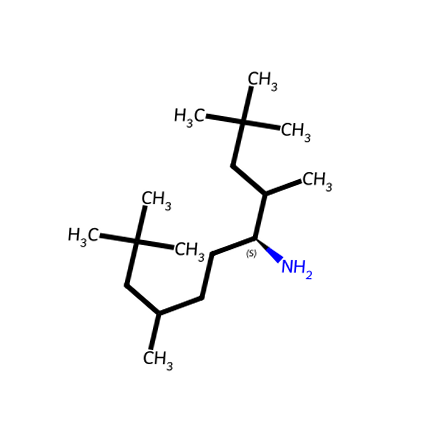 CC(CC[C@H](N)C(C)CC(C)(C)C)CC(C)(C)C